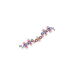 CN1C(=O)C2C3C=CC(C2C1=O)C1C(=O)N(c2cccc(Oc4ccc(S(=O)(=O)c5ccc(Oc6cccc(N7C(=O)C8C9C=CC(C%10C(=O)N(C)C(=O)C9%10)C8C7=O)c6)cc5)cc4)c2)C(=O)C31